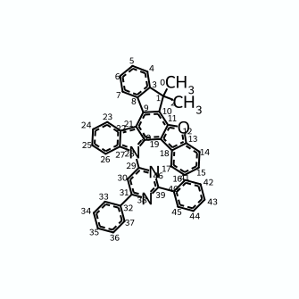 CC1(C)c2ccccc2-c2c1c1oc3ccccc3c1c1c2c2ccccc2n1-c1cc(-c2ccccc2)nc(-c2ccccc2)n1